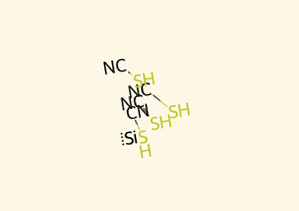 N#CS.N#CS.N#CS.N#CS.[Si]